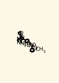 COc1ccccc1C(=O)NCc1ccc(-c2nn(C3CCCO3)c3ncnc(N)c23)cc1